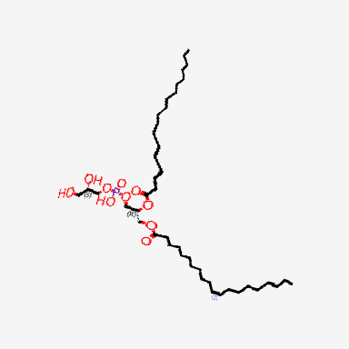 CCCCCCCC/C=C\CCCCCCCCCC(=O)OC[C@H](COP(=O)(O)OC[C@@H](O)CO)OC(=O)CCCCCCCCCCCCCCCCC